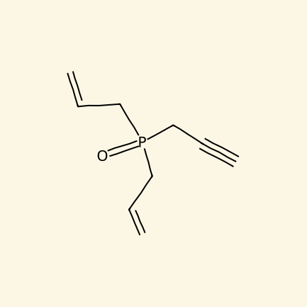 C#CCP(=O)(CC=C)CC=C